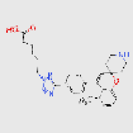 CC1C=CC=C2OC3(C=C(c4ccc(-c5nnn(CCCCCC(=O)O)n5)cc4)C21)CCNCC3